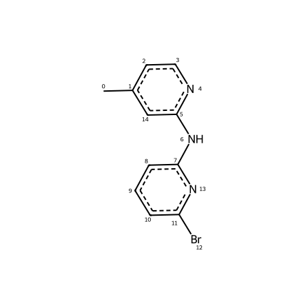 Cc1ccnc(Nc2cccc(Br)n2)c1